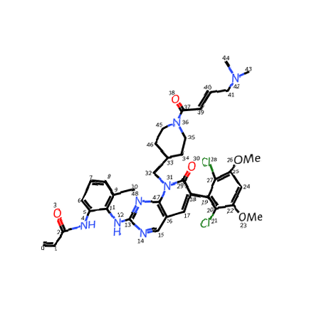 C=CC(=O)Nc1cccc(C)c1Nc1ncc2cc(-c3c(Cl)c(OC)cc(OC)c3Cl)c(=O)n(CC3CCN(C(=O)/C=C/CN(C)C)CC3)c2n1